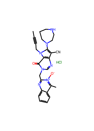 CC#CCn1c(N2CCCNCC2)c(C#N)c2ncn(Cc3nc4ccccc4c(C)[n+]3[O-])c(=O)c21.Cl